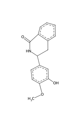 COc1ccc(C2Cc3ccccc3C(=O)N2)cc1O